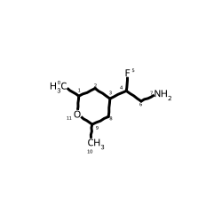 CC1CC(C(F)CN)CC(C)O1